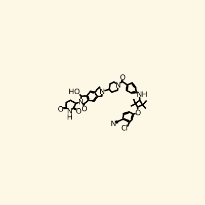 CC1(C)C(Nc2ccc(C(=O)N3CCC(N4Cc5cc6c(cc5C4)C(O)N(C4CCC(=O)NC4=O)C6=O)CC3)cc2)C(C)(C)C1Oc1ccc(C#N)c(Cl)c1